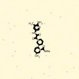 CNC(=O)N1C[C@H](C)CC[C@H]1C1CCCN(C(=O)C(=O)Nc2cnc(N)c(C)c2)C1